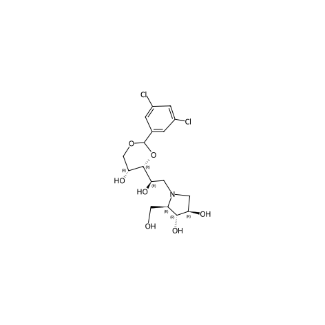 OC[C@@H]1[C@@H](O)[C@H](O)CN1C[C@@H](O)[C@H]1OC(c2cc(Cl)cc(Cl)c2)OC[C@H]1O